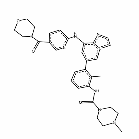 Cc1c(NC(=O)N2CCN(C)CC2)cccc1-c1cc(Nc2ccc(C(=O)N3CCOCC3)cn2)c2nccn2c1